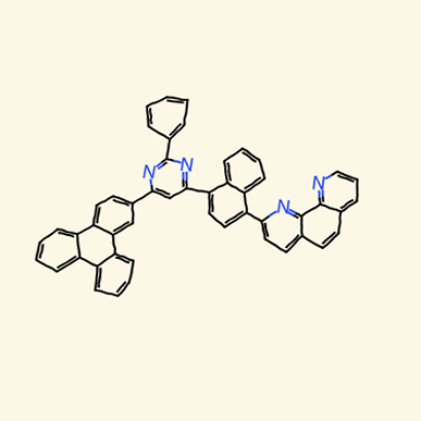 c1ccc(-c2nc(-c3ccc4c5ccccc5c5ccccc5c4c3)cc(-c3ccc(-c4ccc5ccc6cccnc6c5n4)c4ccccc34)n2)cc1